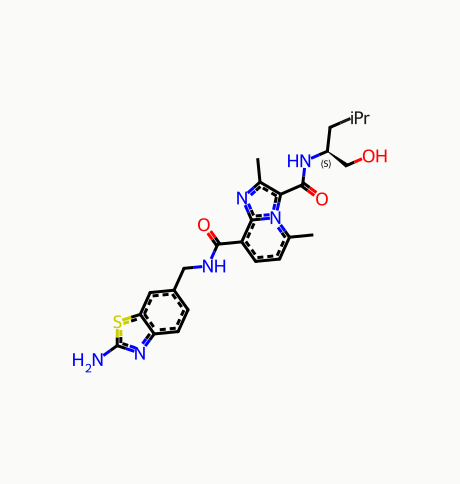 Cc1nc2c(C(=O)NCc3ccc4nc(N)sc4c3)ccc(C)n2c1C(=O)N[C@H](CO)CC(C)C